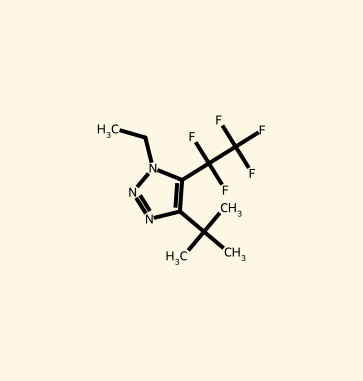 CCn1nnc(C(C)(C)C)c1C(F)(F)C(F)(F)F